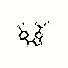 COC(=O)c1cn2c(C(=O)c3ccc(OC)cc3)cnc2s1